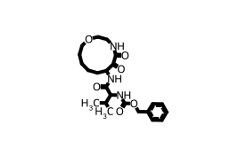 CC(C)C(NC(=O)OCc1ccccc1)C(=O)NC1CCCCCOCCNC(=O)C1=O